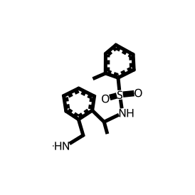 Cc1ccccc1S(=O)(=O)NC(C)c1ccccc1C[NH]